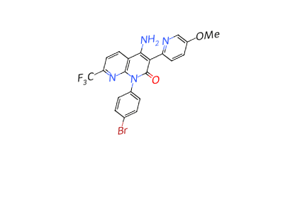 COc1ccc(-c2c(N)c3ccc(C(F)(F)F)nc3n(-c3ccc(Br)cc3)c2=O)nc1